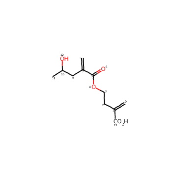 C=C(CCOC(=O)C(=C)CC(C)O)C(=O)O